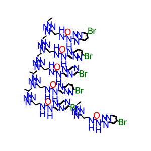 CC(C)n1nnc(CCNC(=O)Nc2cn3cc(Br)ncc3n2)n1.CC(C)n1nnc(CCNC(=O)Nc2cn3nc(Br)ccc3n2)n1.CCn1nnc(CCNC(=O)Nc2cn3cc(Br)ncc3n2)n1.CCn1nnc(CCNC(=O)Nc2cn3nc(Br)ccc3n2)n1.CCn1nnc(CCNC(=O)Nc2nc3cc(Br)ccn3n2)n1.CCn1nnc(CCNC(=O)Nc2nc3ccc(Br)cn3n2)n1